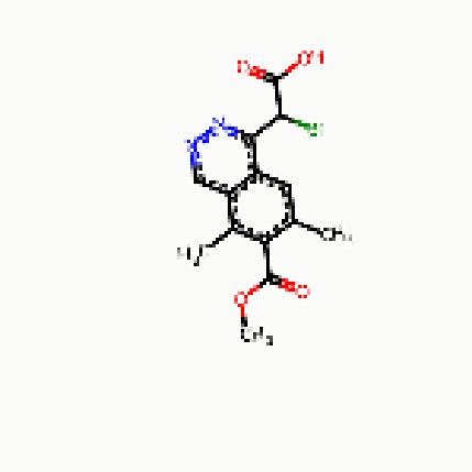 COC(=O)c1c(C)cc2c(C(Br)C(=O)O)nncc2c1C